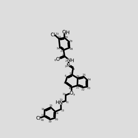 O=C(N/N=C/c1ccc(OCCNCc2ccc(Cl)cc2)c2ccccc12)c1ccc(O)c(Cl)c1